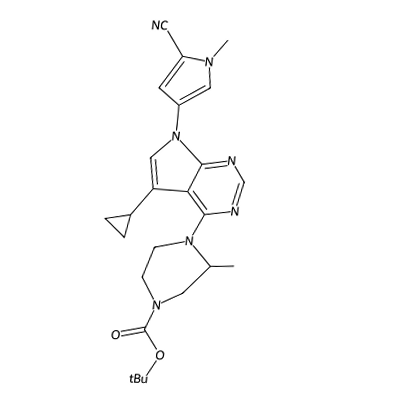 CC1CN(C(=O)OC(C)(C)C)CCN1c1ncnc2c1c(C1CC1)cn2-c1cc(C#N)n(C)c1